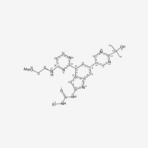 CCNC(=O)Nc1nc2cc(-c3cnc(C(C)(C)O)nc3)cc(-c3nccc(NCCOC)n3)c2s1